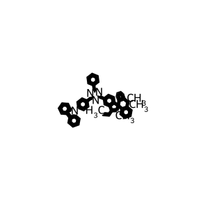 C/C=C\C1=C(C)C2(c3ccc(-c4nc(-c5ccccc5)nc(-c5ccc(-n6c7ccccc7c7ccccc76)cc5)n4)cc31)c1ccccc1C(C)(C)c1ccccc12